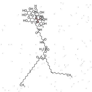 CCCCCCCC/C=C\CCCCCCCC(=O)O[C@H](COC(=O)CCCCCCC/C=C/CCCCCCCC)COP(C)(=O)OCCNC(=O)CCCCC(=O)NCCCO[C@@H]1OC(CO)[C@@H](O[C@@H]2OC(C)[C@@H](O)C(O)[C@@H]2O)[C@H](O[C@@H]2OC(CO)[C@H](O)[C@H](O)C2O[C@@H]2OC(C)[C@@H](O)[C@H](O)C2O)C1NC(C)=O